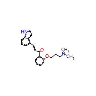 CN(C)CCCOc1ccccc1C(=O)C=Cc1cccc2[nH]ccc12